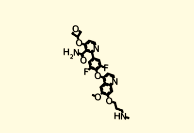 CNCCCOc1cc2nccc(Oc3c(F)cc(-c4nccc(OC5COC5)c4C(N)=O)cc3F)c2cc1OC